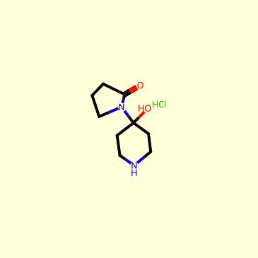 Cl.O=C1CCCN1C1(O)CCNCC1